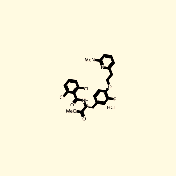 CNc1cccc(CCOc2ccc(C[C@H](NC(=O)c3c(Cl)cccc3Cl)C(=O)OC)cc2F)n1.Cl